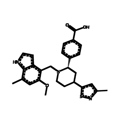 COc1cc(C)c2[nH]ccc2c1CN1CCC(c2cc(C)ns2)C[C@H]1c1ccc(C(=O)O)cc1